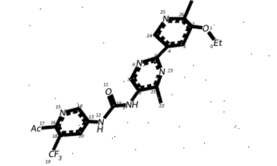 CCOc1cc(-c2ncc(NC(=O)Nc3cnc(C(C)=O)c(C(F)(F)F)c3)c(C)n2)cnc1C